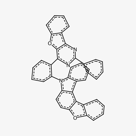 c1ccc(-c2nc(-c3ccccc3-n3c4ccccc4c4c5c(ccc43)oc3ccccc35)c3oc4ccccc4c3n2)cc1